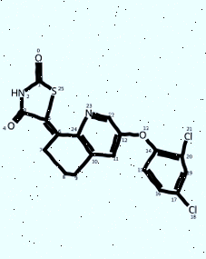 O=C1NC(=O)/C(=C2\CCCc3cc(Oc4ccc(Cl)cc4Cl)cnc32)S1